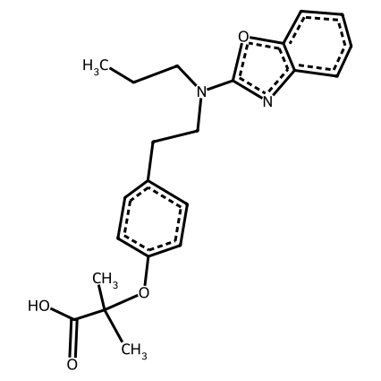 CCCN(CCc1ccc(OC(C)(C)C(=O)O)cc1)c1nc2ccccc2o1